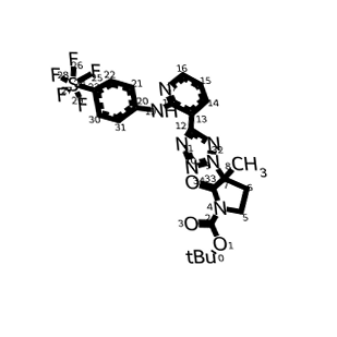 CC(C)(C)OC(=O)N1CCC(C)(n2nnc(-c3cccnc3Nc3ccc(S(F)(F)(F)(F)F)cc3)n2)C1=O